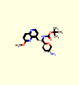 COc1ccc2nccc(C[C@H](NC(=O)OC(C)(C)C)[C@@H]3CC[C@@H](N)CO3)c2n1